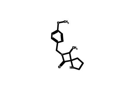 COc1ccc(CN2C(=O)C3(CCCN3)C2C)cc1